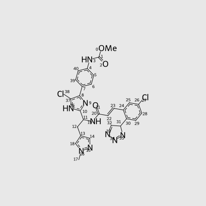 COC(=O)Nc1ccc(-c2nc(C(Cc3cnn(C)c3)NC(=O)/C=C/c3cc(Cl)ccc3C3C=NN=N3)[nH]c2Cl)cc1